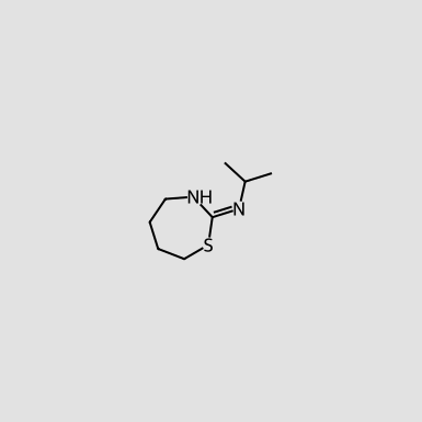 CC(C)/N=C1\NCCCCS1